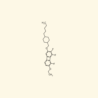 CCCCCC1CCC(COc2cc3c(c(F)c2F)-c2c-3ccc(OCC)c2F)CC1